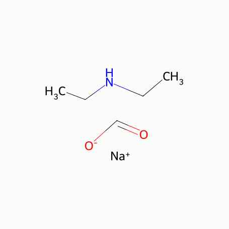 CCNCC.O=C[O-].[Na+]